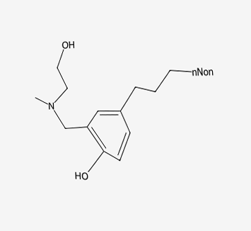 CCCCCCCCCCCCc1ccc(O)c(CN(C)CCO)c1